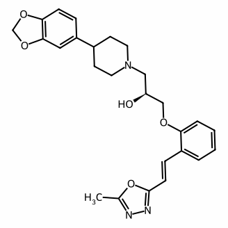 Cc1nnc(/C=C/c2ccccc2OC[C@@H](O)CN2CCC(c3ccc4c(c3)OCO4)CC2)o1